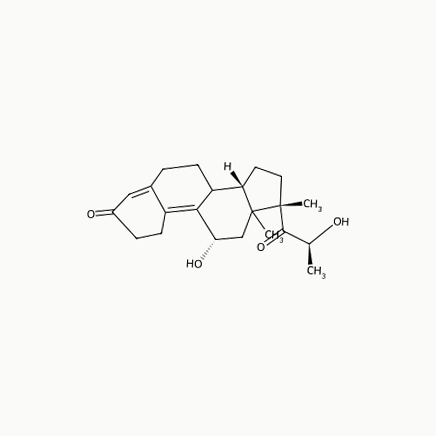 C[C@H](O)C(=O)[C@@]1(C)CC[C@H]2C3CCC4=CC(=O)CCC4=C3[C@@H](O)CC21C